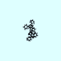 c1ccc(-c2cc(-c3ccccc3)nc(-c3cccc4c3sc3ccc5c(-c6ccccc6)nc6ccccc6c5c34)n2)cc1